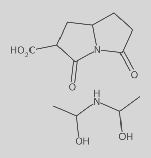 CC(O)NC(C)O.O=C(O)C1CC2CCC(=O)N2C1=O